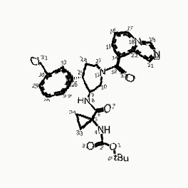 CC(C)(C)OC(=O)NC1(C(=O)N[C@@H]2CN(C(=O)c3cccn4cncc34)CC[C@H]2c2cccc(Cl)c2)CC1